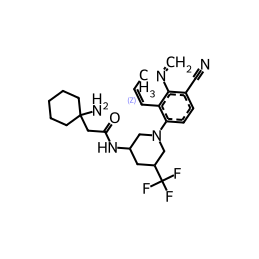 C=Nc1c(C#N)ccc(N2CC(NC(=O)CC3(N)CCCCC3)CC(C(F)(F)F)C2)c1/C=C\C